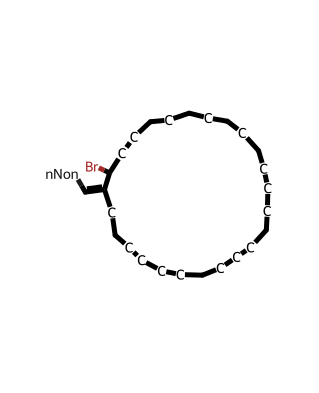 CCCCCCCCCC=C1CCCCCCCCCCCCCCCCCCCCCCCC1Br